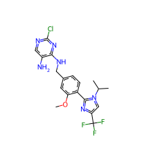 COc1cc(CNc2nc(Cl)ncc2N)ccc1-c1nc(C(F)(F)F)cn1C(C)C